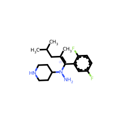 C/C(CC(C)C)=C(\c1cc(F)ccc1F)N(N)C1CCNCC1